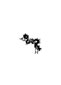 COc1cccnc1[C@@H]1CCC[C@H](C2CN3C(N4CCNC5(CC5)C4)=CC=CC3=N2)N1